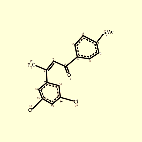 CSc1ccc(C(=O)C=C(c2cc(Cl)cc(Cl)c2)C(F)(F)F)cc1